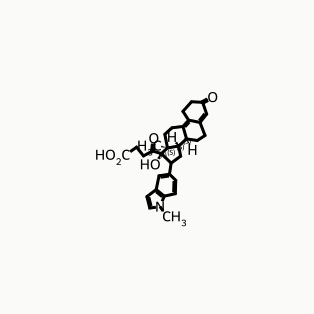 Cn1ccc2cc(C3C[C@H]4[C@@H]5CCC6=CC(=O)CCC6=C5CC[C@]4(C)[C@@]3(O)C(=O)CCC(=O)O)ccc21